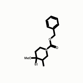 CCC1(OC)CCN(C(=O)OCc2ccccc2)CC1C